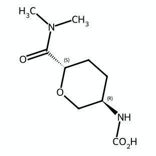 CN(C)C(=O)[C@@H]1CC[C@@H](NC(=O)O)CO1